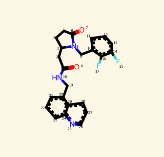 O=C(CC1CCC(=O)N1Cc1cccc(F)c1F)NCc1cccc2ncccc12